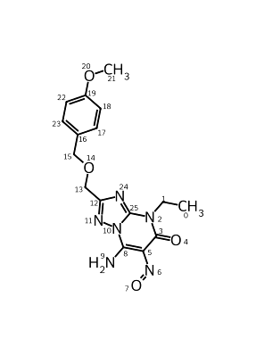 CCn1c(=O)c(N=O)c(N)n2nc(COCc3ccc(OC)cc3)nc12